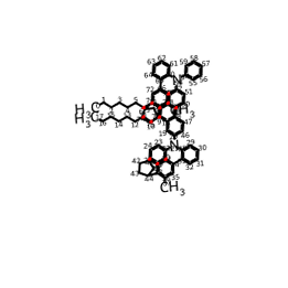 CCCCCCCCc1c(CCCCCCCC)c2cc(N(c3ccccc3)c3ccccc3-c3cc(C)c4c(c3)C3CCC4C3)ccc2c2ccc(N(c3ccccc3)c3ccccc3-c3cc(C)c4c(c3)C3CCC4C3)cc12